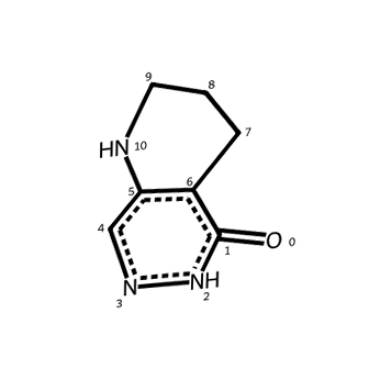 O=c1[nH]ncc2c1CCCN2